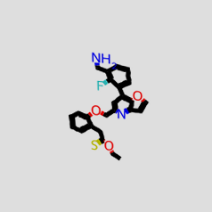 CCOC(=S)Cc1ccccc1OCc1cc(-c2cccc(CN)c2F)c2occc2n1